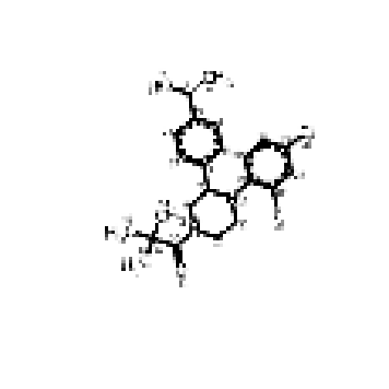 C[C@@H](O)c1ccc(C2CN(C(=O)C(C)(C)C)CCN2c2ccc(Cl)cc2F)cc1